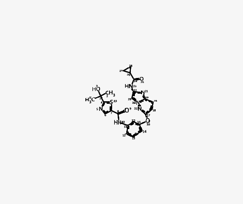 CC(C)(O)c1ncc(C(=O)Nc2cccc(Oc3ccc4nc(NC(=O)C5CC5)cn4n3)c2)s1